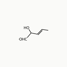 CC=CC(O)[C]=O